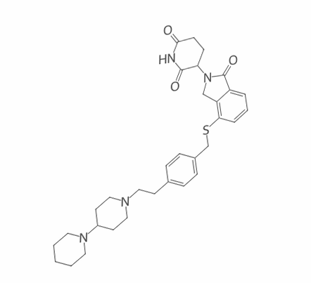 O=C1CCC(N2Cc3c(SCc4ccc(CCN5CCC(N6CCCCC6)CC5)cc4)cccc3C2=O)C(=O)N1